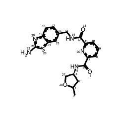 CC1C[C@H](NC(=O)c2cccc(C(=O)NCc3ccc4nc(N)sc4c3)n2)CO1